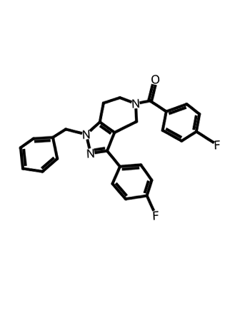 O=C(c1ccc(F)cc1)N1CCc2c(c(-c3ccc(F)cc3)nn2Cc2ccccc2)C1